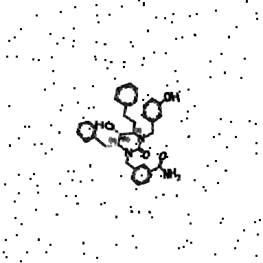 NC(=O)c1cccc(CN2C(=O)N(Cc3cccc(O)c3)[C@H](CCc3ccccc3)[C@@H](O)[C@H]2Cc2ccccc2)c1